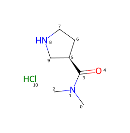 CN(C)C(=O)[C@@H]1CCNC1.Cl